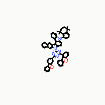 CC1(C)CCC(C)(C)c2c(-n3c4ccccc4c4c5c6cc7ccccc7cc6n(-c6nc(-c7ccc8c(c7)oc7ccccc78)nc(-c7cccc8oc9ccccc9c78)n6)c5ccc43)cccc21